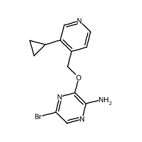 Nc1ncc(Br)nc1OCc1ccncc1C1CC1